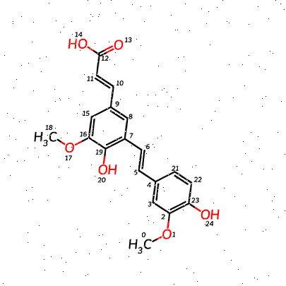 COc1cc(/C=C/c2cc(/C=C/C(=O)O)cc(OC)c2O)ccc1O